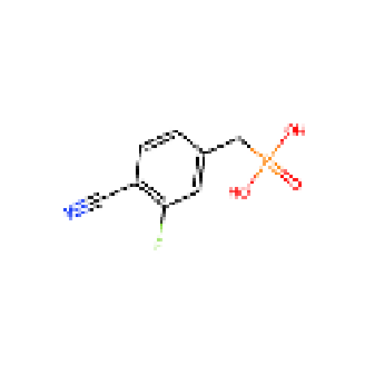 N#Cc1ccc(CP(=O)(O)O)cc1F